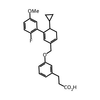 COc1ccc(F)c(C2=CC(COc3cccc(CCC(=O)O)c3)=CCC2C2CC2)c1